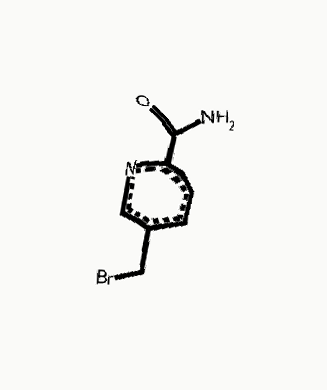 NC(=O)c1ccc(CBr)cn1